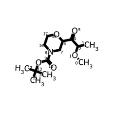 COC(C)C(=O)C1CN(C(=O)OC(C)(C)C)CCO1